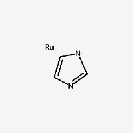 C1=CN=C[N]1.[Ru]